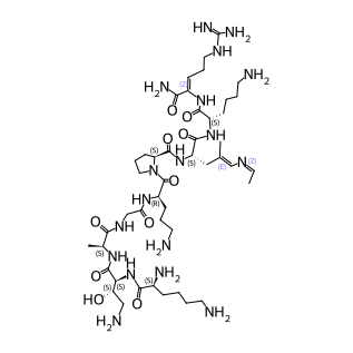 C/C=N\C=C(/C)C[C@H](NC(=O)[C@@H]1CCCN1C(=O)[C@@H](CCCN)NC(=O)CNC(=O)[C@H](C)NC(=O)[C@@H](NC(=O)[C@@H](N)CCCCN)[C@@H](O)CN)C(=O)N[C@@H](CCCCN)C(=O)N/C(=C\CCNC(=N)N)C(N)=O